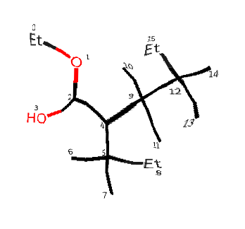 CCOC(O)C(C(C)(C)CC)C(C)(C)C(C)(C)CC